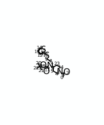 CC(=O)N1CCC(N(CCSc2cccs2)C(=O)OC(C)(C)C)CC1